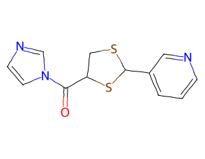 O=C(C1CSC(c2cccnc2)S1)n1ccnc1